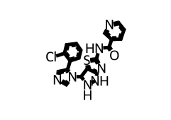 O=C(Nc1nc2c(s1)C(n1cncc1-c1ccccc1Cl)NN2)c1cccnc1